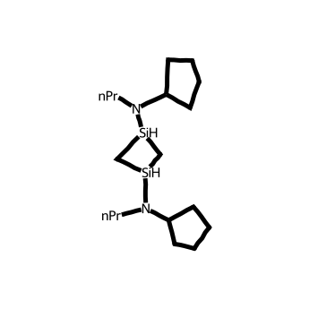 CCCN(C1CCCC1)[SiH]1C[SiH](N(CCC)C2CCCC2)C1